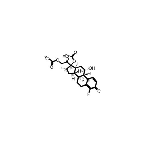 CCCC(=O)O[C@]1(C(=O)COC(=O)CC)[C@@H](C)C[C@H]2[C@@H]3CCC4=C(F)C(=O)C=C[C@]4(C)[C@H]3[C@@H](O)C[C@@]21C